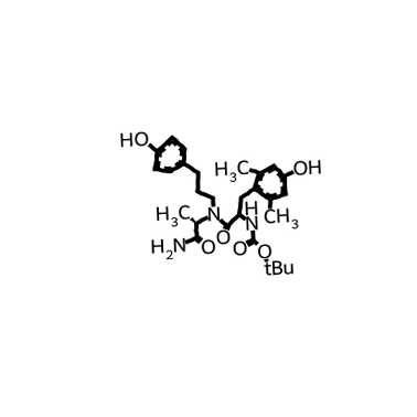 Cc1cc(O)cc(C)c1CC(NC(=O)OC(C)(C)C)C(=O)N(CCCc1ccc(O)cc1)[C@H](C)C(N)=O